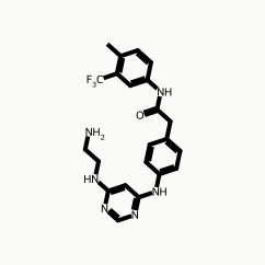 Cc1ccc(NC(=O)Cc2ccc(Nc3cc(NCCN)ncn3)cc2)cc1C(F)(F)F